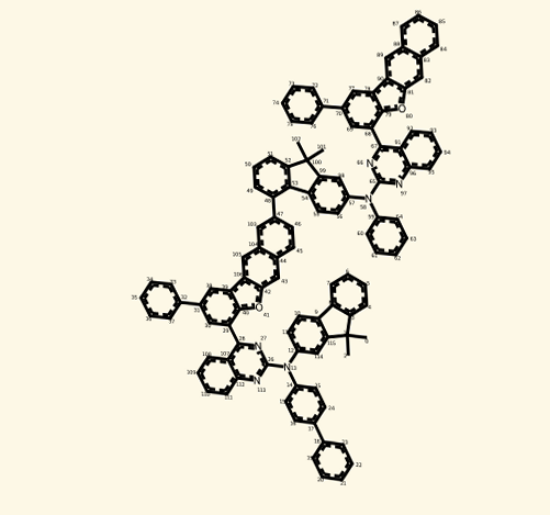 CC1(C)c2ccccc2-c2ccc(N(c3ccc(-c4ccccc4)cc3)c3nc(-c4cc(-c5ccccc5)cc5c4oc4cc6ccc(-c7cccc8c7-c7ccc(N(c9ccccc9)c9nc(-c%10cc(-c%11ccccc%11)cc%11c%10oc%10cc%12ccccc%12cc%10%11)c%10ccccc%10n9)cc7C8(C)C)cc6cc45)c4ccccc4n3)cc21